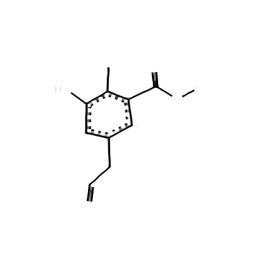 C=CCc1cc(O)c(O)c(C(=O)OC)c1